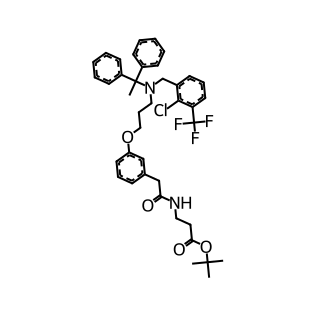 CC(C)(C)OC(=O)CCNC(=O)Cc1cccc(OCCCN(Cc2cccc(C(F)(F)F)c2Cl)C(C)(c2ccccc2)c2ccccc2)c1